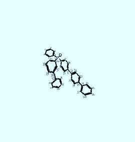 O=P(c1ccccc1)(c1ccc(-c2ccc(-c3ccccc3)cc2)cc1)c1cccc(-c2ccccc2)c1